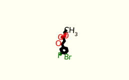 CCOC(=O)CC(=O)c1ccc(Br)c(F)c1